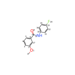 COc1cccc(C(=O)Nc2ccc(F)cc2)c1